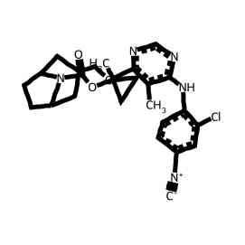 [C-]#[N+]c1ccc(Nc2ncnc(OCC3CC4CCC(C3)N4C(=O)OC3(C)CC3)c2C)c(Cl)c1